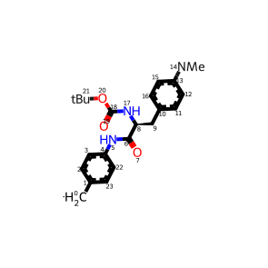 [CH2]c1ccc(NC(=O)[C@H](Cc2ccc(NC)cc2)NC(=O)OC(C)(C)C)cc1